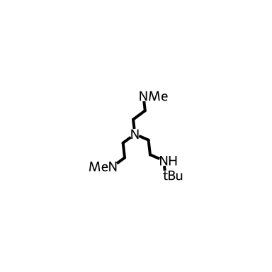 CNCCN(CCNC)CCNC(C)(C)C